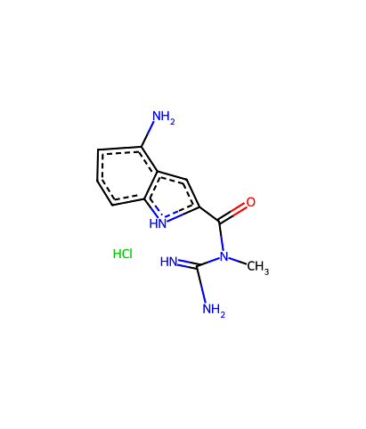 CN(C(=N)N)C(=O)c1cc2c(N)cccc2[nH]1.Cl